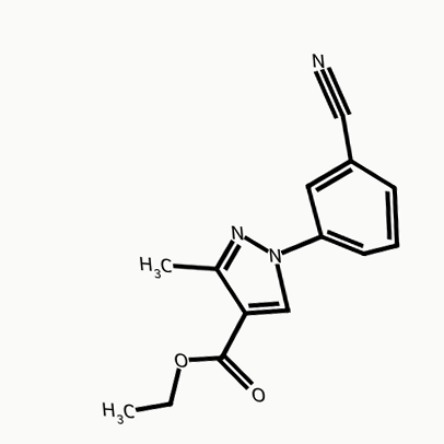 CCOC(=O)c1cn(-c2cccc(C#N)c2)nc1C